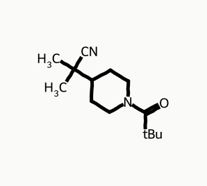 CC(C)(C)C(=O)N1CCC(C(C)(C)C#N)CC1